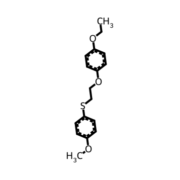 CCOc1ccc(OCCSc2ccc(OC)cc2)cc1